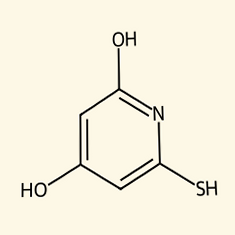 Oc1cc(O)nc(S)c1